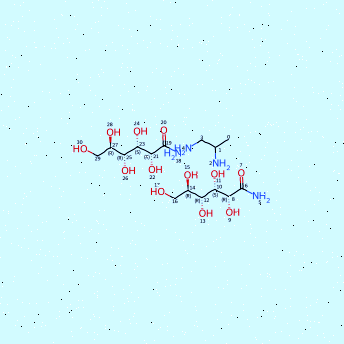 CC(N)CN.NC(=O)[C@H](O)[C@@H](O)[C@H](O)[C@H](O)CO.NC(=O)[C@H](O)[C@@H](O)[C@H](O)[C@H](O)CO